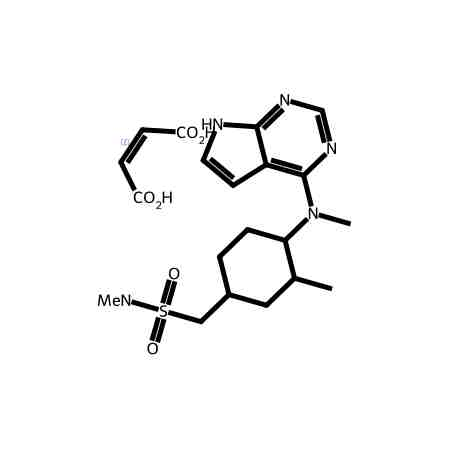 CNS(=O)(=O)CC1CCC(N(C)c2ncnc3[nH]ccc23)C(C)C1.O=C(O)/C=C\C(=O)O